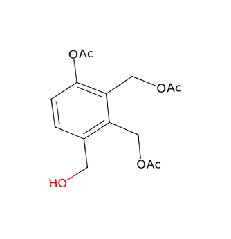 CC(=O)OCc1c(CO)ccc(OC(C)=O)c1COC(C)=O